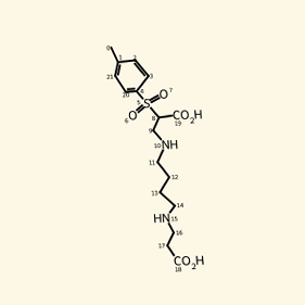 Cc1ccc(S(=O)(=O)C(CNCCCCNCCC(=O)O)C(=O)O)cc1